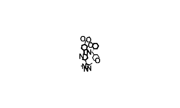 COC(=O)c1ccc2c3ncc(-c4c(C)nnn4C)cc3n([C@H](c3ccccc3)C3CCOCC3)c2c1OC